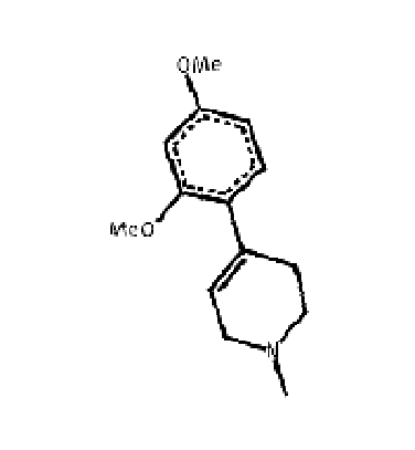 COc1ccc(C2=CCN(C)CC2)c(OC)c1